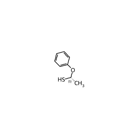 C[C@H](S)Oc1ccccc1